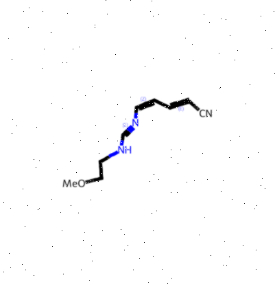 COCCN/C=N/C=C\C=C\C#N